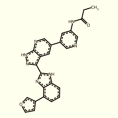 CCC(=O)Nc1cncc(-c2cnc3[nH]nc(-c4nc5c(-c6ccoc6)cccc5[nH]4)c3c2)c1